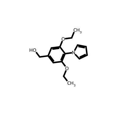 CCOc1cc(CO)cc(OCC)c1-n1cccc1